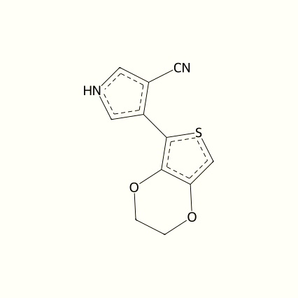 N#Cc1c[nH]cc1-c1scc2c1OCCO2